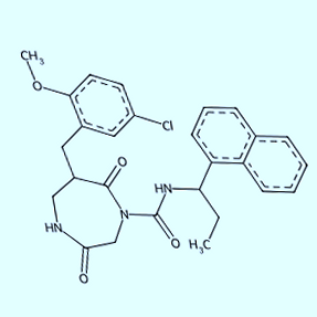 CCC(NC(=O)N1CC(=O)NCC(Cc2cc(Cl)ccc2OC)C1=O)c1cccc2ccccc12